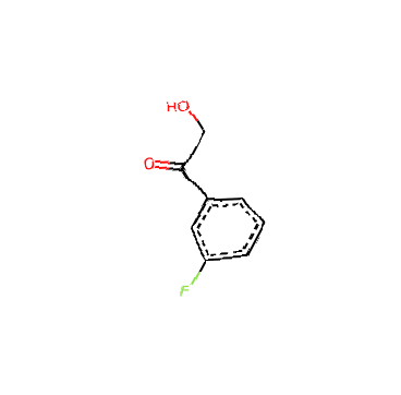 O=C(CO)c1cccc(F)c1